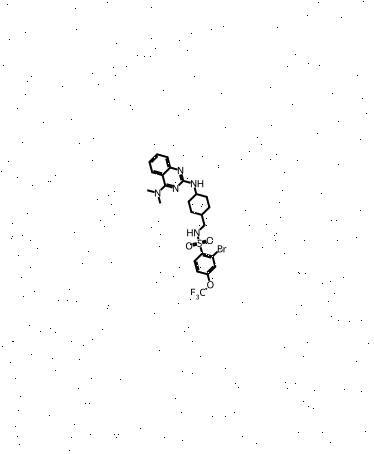 CN(C)c1nc(NC2CCC(CNS(=O)(=O)c3ccc(OC(F)(F)F)cc3Br)CC2)nc2ccccc12